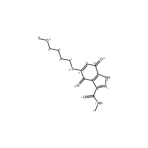 CNC(=O)c1n[nH]c2c1C(=O)C(SCCCCOC)=CC2=O